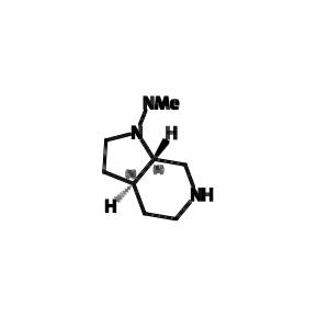 CNN1CC[C@@H]2CCNC[C@H]21